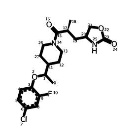 CC(Oc1ccc(Cl)cc1F)C1CCN(C(=O)[C@@H](C)CC2COC(=O)N2)CC1